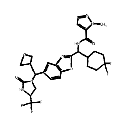 Cn1nccc1C(=O)NC(c1nc2cc(C(C3COC3)N3CC(C(F)(F)F)NC3=O)ccc2o1)C1CCC(F)(F)CC1